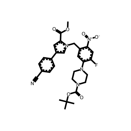 COC(=O)c1cc(-c2ccc(C#N)cc2)cn1Cc1cc(N2CCN(C(=O)OC(C)(C)C)CC2)c(F)cc1[N+](=O)[O-]